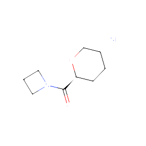 N[C@@H]1CC[C@@H](C(=O)N2CCC2)OC1